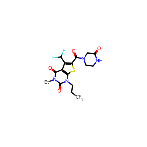 CCn1c(=O)c2c(C(F)F)c(C(=O)N3CCNC(=O)C3)sc2n(CCC(F)(F)F)c1=O